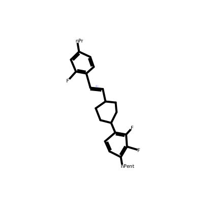 CCCCCc1ccc(C2CCC(/C=C/c3ccc(CCC)cc3F)CC2)c(F)c1F